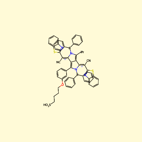 CC(C)c1c2/c(=C(\C#N)c3nc4ccccc4s3)n(B(c3ccccc3)c3ccccc3)c(-c3cccc(OCCCCS(=O)(=O)O)c3)c2/c(=C(\C#N)c2nc3ccccc3s2)n1B(c1ccccc1)c1ccccc1